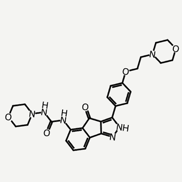 O=C(Nc1cccc2c1C(=O)c1c-2n[nH]c1-c1ccc(OCCN2CCOCC2)cc1)NN1CCOCC1